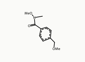 COCc1ccc(C(=O)N(C)OC)cc1